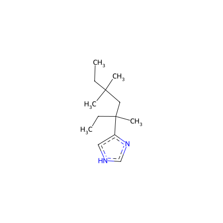 CCC(C)(C)CC(C)(CC)c1c[nH]cn1